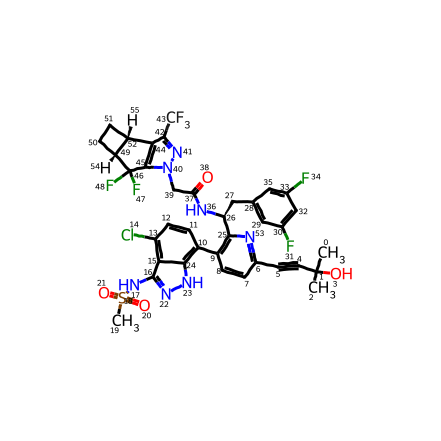 CC(C)(O)C#Cc1ccc(-c2ccc(Cl)c3c(NS(C)(=O)=O)n[nH]c23)c([C@H](Cc2cc(F)cc(F)c2)NC(=O)Cn2nc(C(F)(F)F)c3c2C(F)(F)[C@@H]2CC[C@H]32)n1